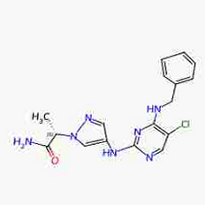 C[C@@H](C(N)=O)n1cc(Nc2ncc(Cl)c(NCc3ccccc3)n2)cn1